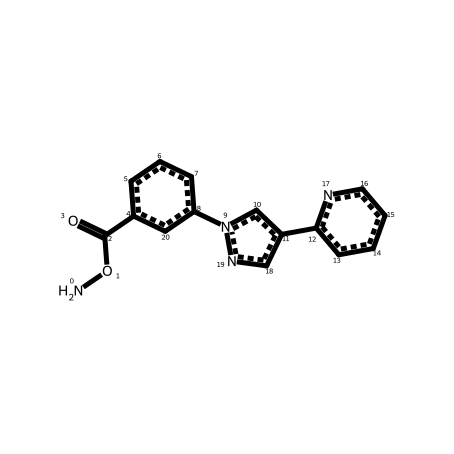 NOC(=O)c1cccc(-n2cc(-c3ccccn3)cn2)c1